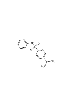 CC(C)c1ccc(S(=O)(=O)Nc2cc[c]cc2)cc1